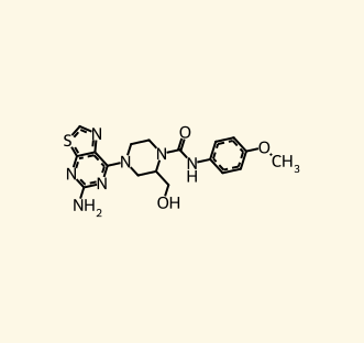 COc1ccc(NC(=O)N2CCN(c3nc(N)nc4scnc34)CC2CO)cc1